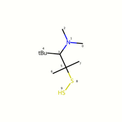 CN(C)C(C(C)(C)C)C(C)(C)SS